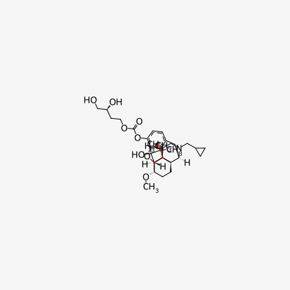 CO[C@@]12CC[C@@]3(C[C@@H]1[C@](C)(O)C(C)(C)C)[C@H]1Cc4ccc(OC(=O)OCC[C@H](O)CO)c5c4[C@@]3(CCN1CC1CC1)[C@H]2O5